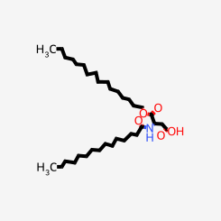 CCCCCCCCCCCCCCCCOC(=O)C(CC(=O)O)NC(=O)CCCCCCCCCCCCCC